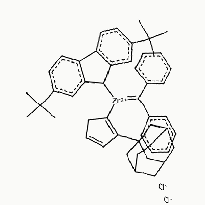 CC(C)(C)c1ccc2c(c1)[CH]([Zr+2]([C]1=C(C34CC5CC(CC(C5)C3)C4)C=CC1)=[C](c1ccccc1)c1ccccc1)c1cc(C(C)(C)C)ccc1-2.[Cl-].[Cl-]